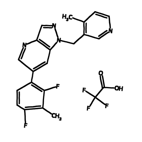 Cc1ccncc1Cn1ncc2ncc(-c3ccc(F)c(C)c3F)cc21.O=C(O)C(F)(F)F